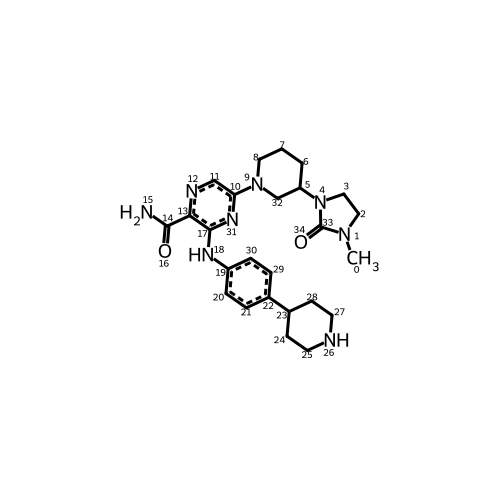 CN1CCN(C2CCCN(c3cnc(C(N)=O)c(Nc4ccc(C5CCNCC5)cc4)n3)C2)C1=O